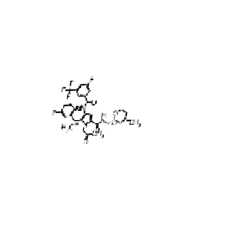 CC(=O)Cn1c(C(=O)NC[C@H]2CN(C)CCO2)cc(NC(=O)c2cc(F)cc(C(F)(F)F)c2)c1[C@H](C)c1cc(F)ccc1Cl